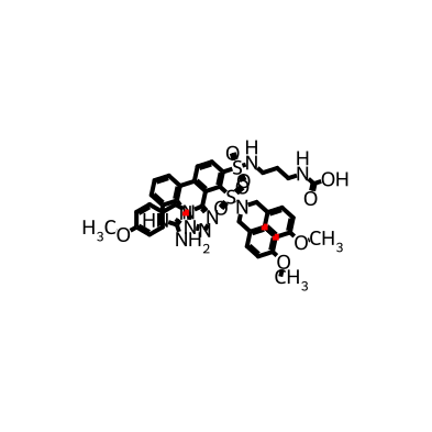 COc1ccc(CN(Cc2ccc(OC)cc2)S(=O)(=O)c2c(S(=O)(=O)NCCCNC(=O)O)ccc(-c3cccc4[nH]c(N)nc34)c2-c2nnnn2Cc2ccc(OC)cc2)cc1